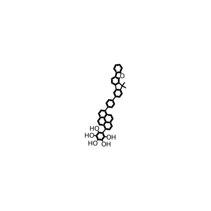 CC1(C)c2ccc(-c3ccc(-c4ccc5ccc6c(-c7c(O)c(O)c(O)c(O)c7O)ccc7ccc4c5c76)cc3)cc2-c2ccc3c(oc4ccccc43)c21